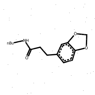 CCCCNC(=O)CCc1ccc2c(c1)OCO2